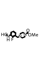 COC(=O)N1CCN(Cc2cccc(NO)c2F)CC1